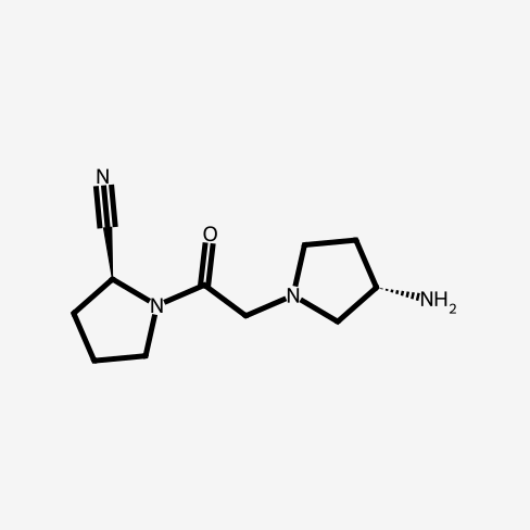 N#C[C@@H]1CCCN1C(=O)CN1CC[C@H](N)C1